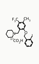 Cc1cc(OCc2ccccc2I)c(CN2CCCC[C@H]2C(=O)O)cc1C(F)(F)F